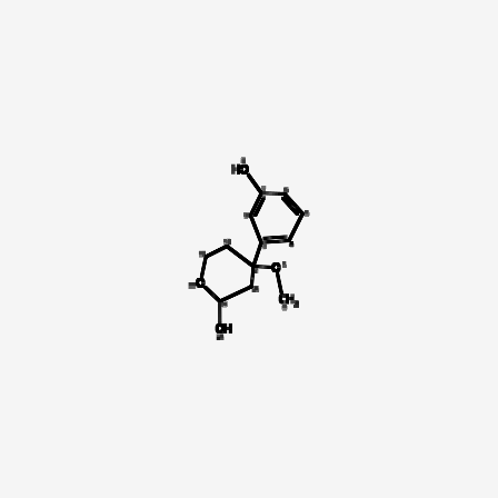 COC1(c2cccc(O)c2)CCOC(O)C1